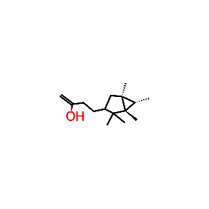 C=C(O)CCC1C[C@@]2(C)[C@H](C)[C@]2(C)C1(C)C